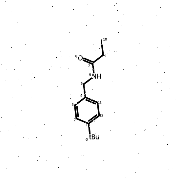 CC(C)(C)c1ccc(CNC(=O)CI)cc1